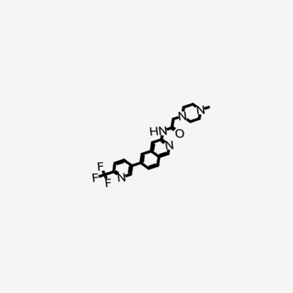 CN1CCN(CC(=O)Nc2cc3cc(-c4ccc(C(F)(F)F)nc4)ccc3cn2)CC1